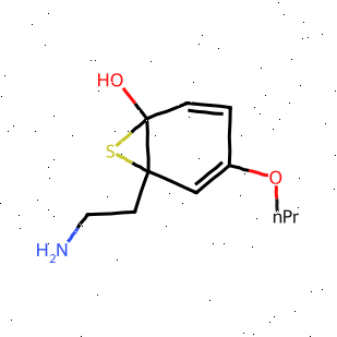 CCCOC1=CC2(CCN)SC2(O)C=C1